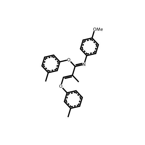 COc1ccc(/N=C(Oc2cccc(C)c2)/C(C)=C/Oc2cccc(C)c2)cc1